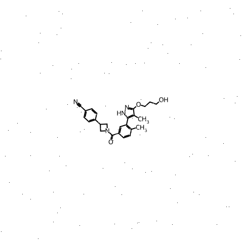 Cc1ccc(C(=O)N2CC(c3ccc(C#N)cc3)C2)cc1-c1[nH]nc(OCCCO)c1C